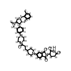 Cc1cccc(F)c1CN1C[C@H](c2ccc(N3CCN(C(=O)CCC4CCN(c5ccc6c(c5)C(=O)N(C5CCC(=O)NC5=O)C6=O)CC4)CC3)cc2)[C@H](N(C)C)C1